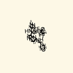 Cn1cc(NC(=O)c2cnn3ccc(NCCN4CCOCC4)nc23)c(C(F)(F)F)n1.O=C(O)C(F)(F)F